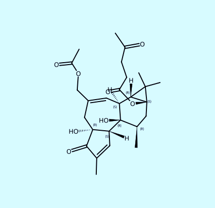 CC(=O)CCC(=O)O[C@@]12C[C@@H](C)[C@@]3(O)[C@@H](C=C(COC(C)=O)C[C@]4(O)C(=O)C(C)=C[C@@H]34)[C@@H]1C2(C)C